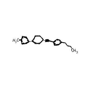 CCCCc1ccc(C#C[C@H]2CC[C@H](c3ccc(C)cc3)CC2)cc1